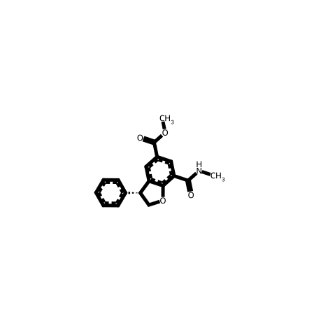 CNC(=O)c1cc(C(=O)OC)cc2c1OC[C@@H]2c1ccccc1